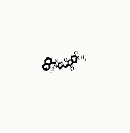 Cc1cc2c(cc1Cl)C(=O)/C(=C\c1cc3c(nc(-c4cccc5ccccc45)n3C)s1)C2=O